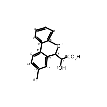 O=C(O)C(O)C1Oc2ccccc2-c2ccc(F)cc21